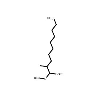 CCCCCCCCC(OCCCC)C(C)CCCCCCCC(=O)O